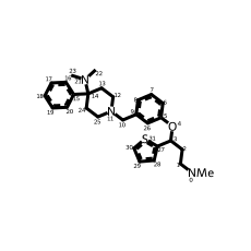 CNCCC(Oc1cccc(CN2CCC(c3ccccc3)(N(C)C)CC2)c1)c1cccs1